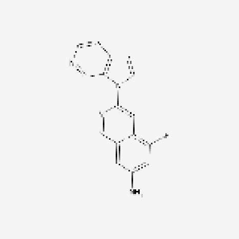 Nc1cc(F)c2cc(-n3ccc4ccncc43)ncc2c1